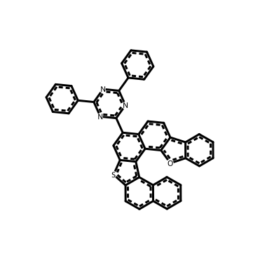 c1ccc(-c2nc(-c3ccccc3)nc(-c3cc4sc5ccc6ccccc6c5c4c4c3ccc3c5ccccc5oc34)n2)cc1